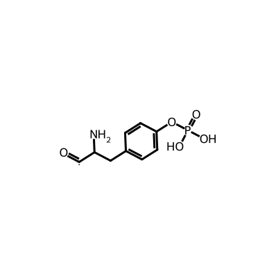 NC([C]=O)Cc1ccc(OP(=O)(O)O)cc1